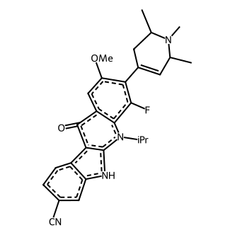 COc1cc2c(=O)c3c4ccc(C#N)cc4[nH]c3n(C(C)C)c2c(F)c1C1=CC(C)N(C)C(C)C1